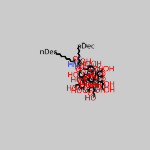 CCCCCCCCCCCCC/C=C/[C@@H](O)[C@H](CO[C@@H]1OC(CO)[C@@H](O[C@@H]2OC(CO)[C@H](O)[C@H](O[C@H]3OC(CO)[C@H](O)[C@H](O[C@@H]4OC(CO)[C@H](O)[C@H](O[C@@H]5OC(CO)[C@H](O)[C@H](O[C@H]6OC(CO)[C@H](O)[C@H](O)C6O)C5O[C@H]5OC(C)[C@@H](O)C(O)[C@@H]5O)C4NC(C)=O)C3O)C2O)[C@H](O)C1O)NC(=O)CCCCCCCCCCCCCCCCC